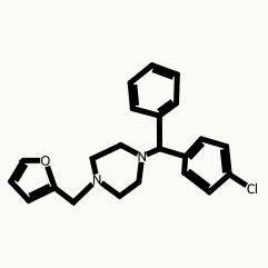 Clc1ccc(C(c2ccccc2)N2CCN(Cc3cc[c]o3)CC2)cc1